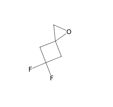 FC1(F)CC2(CO2)C1